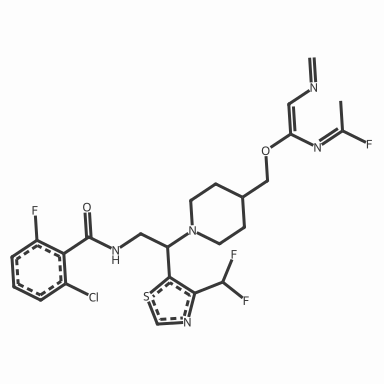 C=N/C=C(\N=C(/C)F)OCC1CCN(C(CNC(=O)c2c(F)cccc2Cl)c2scnc2C(F)F)CC1